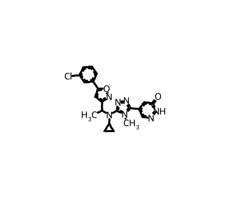 CC(c1cc(-c2cccc(Cl)c2)on1)N(c1nnc(-c2cn[nH]c(=O)c2)n1C)C1CC1